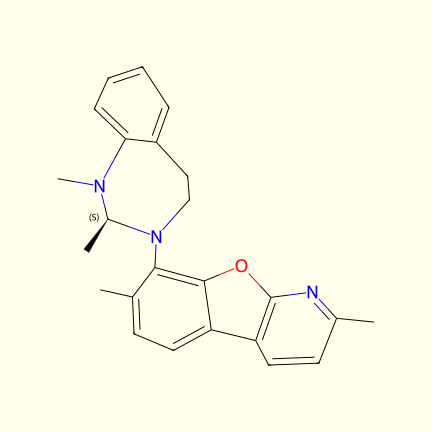 Cc1ccc2c(n1)oc1c(N3CCc4ccccc4N(C)[C@@H]3C)c(C)ccc12